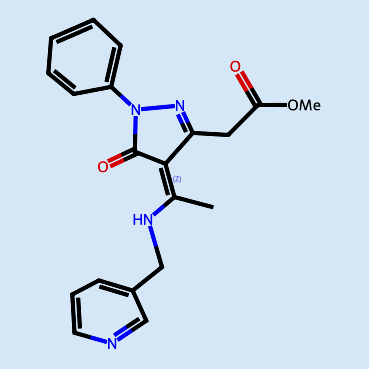 COC(=O)CC1=NN(c2ccccc2)C(=O)/C1=C(/C)NCc1cccnc1